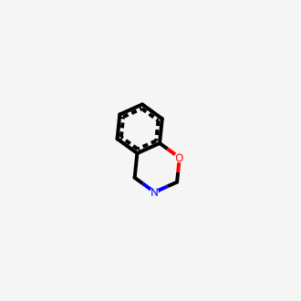 c1ccc2c(c1)C[N]CO2